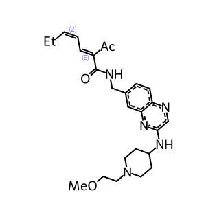 CC/C=C\C=C(/C(C)=O)C(=O)NCc1ccc2ncc(NC3CCN(CCOC)CC3)nc2c1